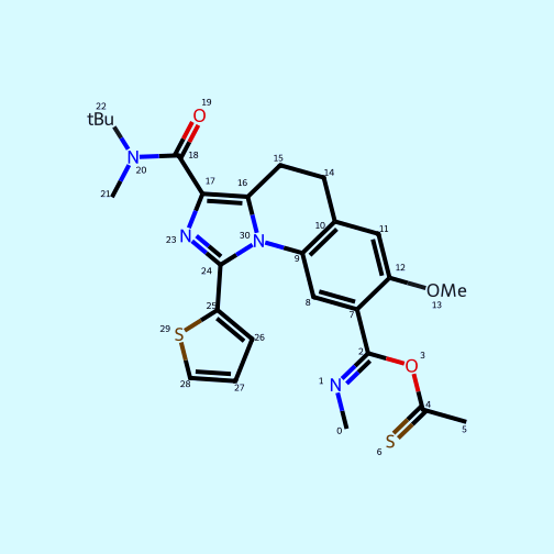 C/N=C(\OC(C)=S)c1cc2c(cc1OC)CCc1c(C(=O)N(C)C(C)(C)C)nc(-c3cccs3)n1-2